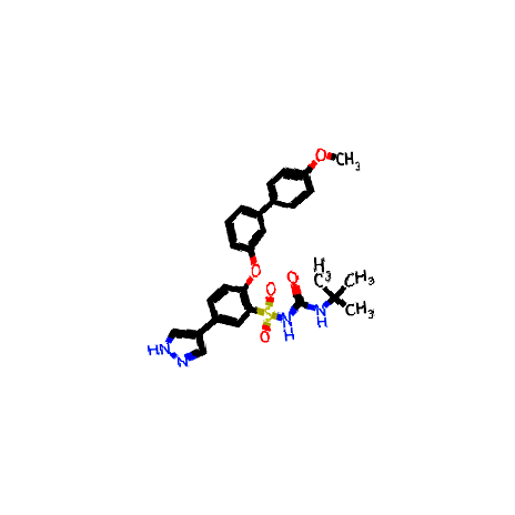 COc1ccc(-c2cccc(Oc3ccc(-c4cn[nH]c4)cc3S(=O)(=O)NC(=O)NC(C)(C)C)c2)cc1